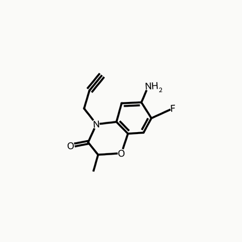 C#CCN1C(=O)C(C)Oc2cc(F)c(N)cc21